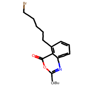 CC(C)COc1nc2cccc(CCCCCBr)c2c(=O)o1